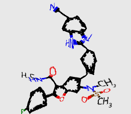 CNC(=O)c1c(-c2ccc(F)cc2)oc2cc(N(C)S(C)(=O)=O)c(-c3cccc(-c4nc5ccc(C#N)cc5[nH]4)c3)cc12